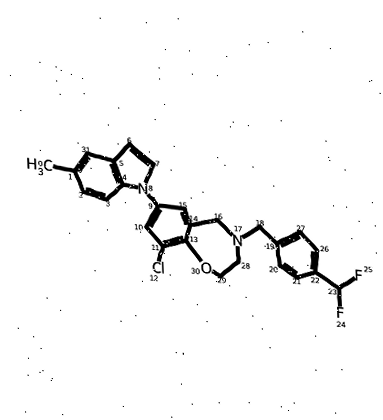 Cc1ccc2c(ccn2-c2cc(Cl)c3c(c2)CN(Cc2ccc(C(F)F)cc2)CCO3)c1